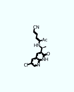 CC(=O)/C(=C\C=C\C#N)N[C@@H](C)c1cc2cc(Cl)cnc2[nH]c1=O